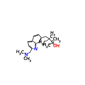 CN(C)Cc1ccc2ccc(CC(C)(C)[Si](C)(C)O)cc2n1